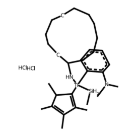 C[SiH2][Ti]([NH]C1CCCCCCCCCCC1)([C]1=C(C)C(C)=C(C)C1C)[c]1ccccc1N(C)C.Cl.Cl